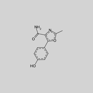 Cc1nc(C(N)=O)c(-c2ccc(O)cc2)o1